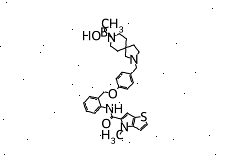 CB(O)N1CCC2(CCN(Cc3ccc(OCc4ccccc4NC(=O)c4cc5sccc5n4C)cc3)C2)CC1